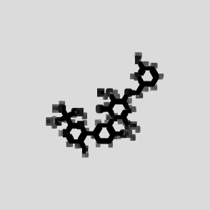 Cc1ccc(-c2nc(C(C)(C)O)ncc2F)cc1-n1c(C)nc(OCc2cccc(F)n2)c(C)c1=O